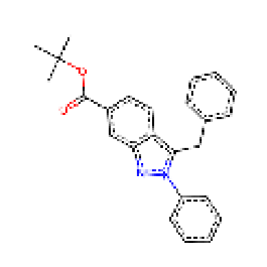 CC(C)(C)OC(=O)c1ccc2c(Cc3ccccc3)n(-c3ccccc3)nc2c1